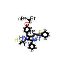 C=C(S)/C(C#N)=c1\[nH]c(-c2ccc(OCC(CC)CCCC)cc2)c2/c(=C(\C#N)c3nc4ccccc4s3)[nH]c(-c3ccccc3)c12